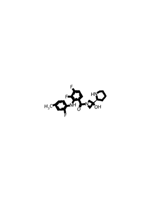 Cc1ccc(Nc2c(C(=O)N3CC(O)([C@@H]4CCCCN4)C3)ccc(F)c2F)c(F)c1